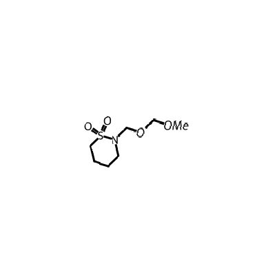 COCOCN1CCCCS1(=O)=O